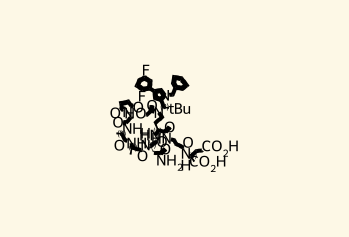 C[C@@H](NC(=O)CN1C(=O)C=CC1=O)C(=O)N[C@H](C)C(=O)N[C@@H](CC(N)=O)C(=O)N[C@@H](CCN(C(=O)CO)[C@@H](c1cc(-c2cc(F)ccc2F)cn1Cc1ccccc1)C(C)(C)C)C(=O)NCCC(=O)N[C@@H](CCC(=O)O)C(=O)O